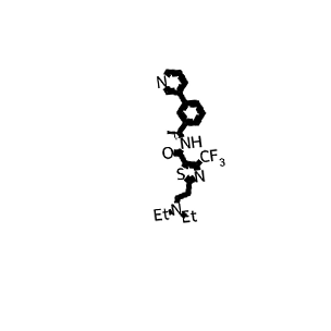 CCN(CC)CCc1nc(C(F)(F)F)c(C(=O)N[C@@H](C)c2cccc(-c3cccnc3)c2)s1